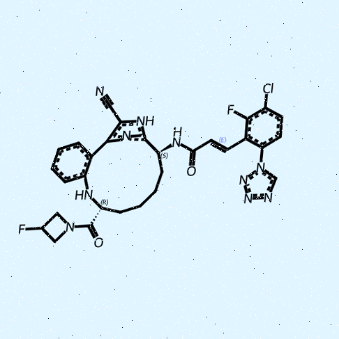 N#Cc1[nH]c2nc1-c1ccccc1N[C@@H](C(=O)N1CC(F)C1)CCCC[C@@H]2NC(=O)/C=C/c1c(-n2cnnn2)ccc(Cl)c1F